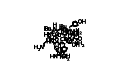 CC[C@H](C)[C@H](NC(=O)[C@H](Cc1ccc(O)cc1)NC(=O)[C@H](Cc1ccc(O)cc1)NC(=O)[C@@H](N)CC(N)=O)C(=O)N[C@H](C(=O)N[C@@H](CCCCN)C(=O)N[C@@H](CCCNC(=N)N)C(=O)N[C@@H](Cc1ccc(O)cc1)C(=O)O)[C@@H](C)CC